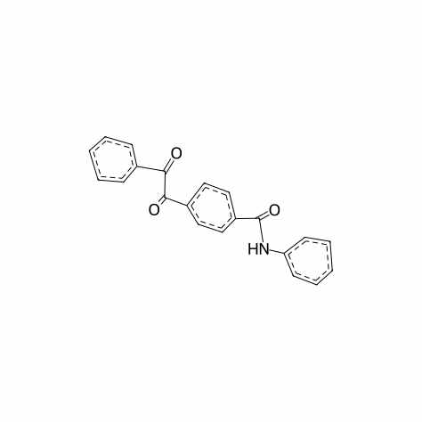 O=C(Nc1ccccc1)c1ccc(C(=O)C(=O)c2ccccc2)cc1